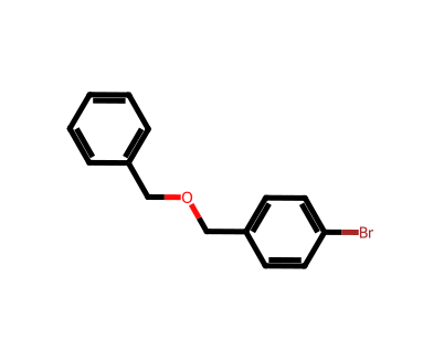 Brc1ccc(COCc2ccccc2)cc1